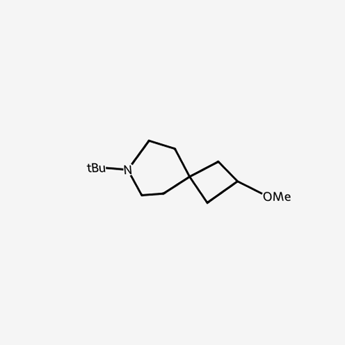 COC1CC2(CCN(C(C)(C)C)CC2)C1